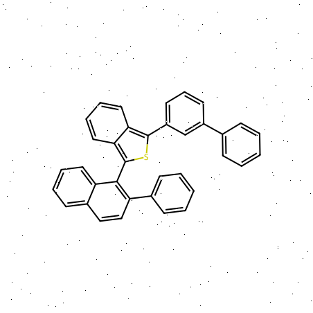 c1ccc(-c2cccc(-c3sc(-c4c(-c5ccccc5)ccc5ccccc45)c4ccccc34)c2)cc1